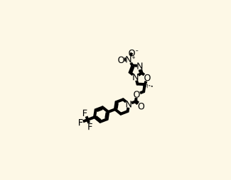 C[C@]1(COC(=O)N2CC=C(c3ccc(C(F)(F)F)cc3)CC2)Cn2cc([N+](=O)[O-])nc2O1